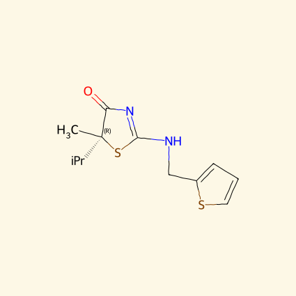 CC(C)[C@@]1(C)SC(NCc2cccs2)=NC1=O